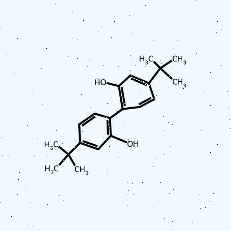 CC(C)(C)c1ccc(-c2ccc(C(C)(C)C)cc2O)c(O)c1